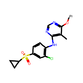 Cc1c(Nc2ccc(S(=O)(=O)C3CC3)cc2Cl)ncnc1OC(C)C